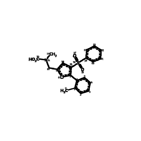 Cc1ccccc1-c1oc(CN(C)C(=O)O)cc1S(=O)(=O)c1ccccc1